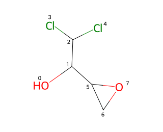 OC(C(Cl)Cl)C1CO1